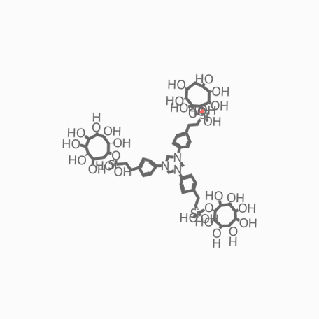 OC1C(O)C(O)[C@@H](O)C(O)CC(O[Si](O)(O)CCc2ccc(N3CN(c4ccc(CC[Si](O)(O)O[C@@H]5C(O)C(O)C(O)C(O)[C@H](O)C(O)[C@@H]5O)cc4)CN(c4ccc(CC[Si](O)(O)OC5(O)C(O)C(O)[C@@H](O)C(O)C[C@@H](O)[C@H]5O)cc4)C3)cc2)[C@@H](O)C1O